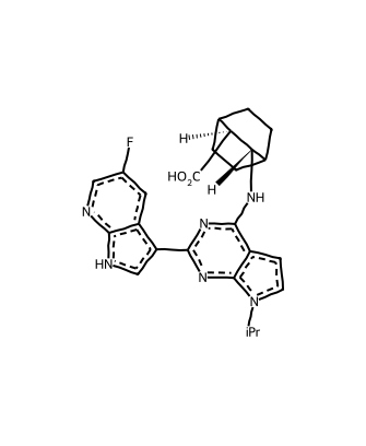 CC(C)n1ccc2c(N[C@H]3C4CCC(CC4)[C@@H]3C(=O)O)nc(-c3c[nH]c4ncc(F)cc34)nc21